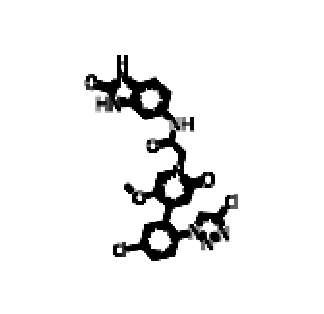 COc1cn(CC(=O)Nc2ccc3[nH]c(=O)[nH]c3c2)c(=O)cc1-c1cc(Cl)ccc1-n1cc(Cl)nn1